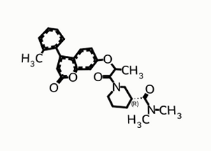 Cc1ccccc1-c1cc(=O)oc2cc(OC(C)C(=O)N3CCC[C@@H](C(=O)N(C)C)C3)ccc12